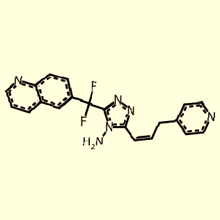 Nn1c(/C=C\Cc2ccncc2)nnc1C(F)(F)c1ccc2ncccc2c1